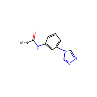 CNC(=O)Nc1cccc(-n2cnnn2)c1